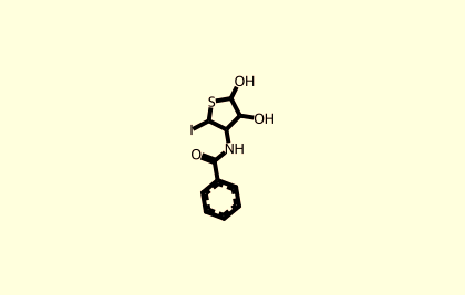 O=C(NC1C(I)SC(O)C1O)c1ccccc1